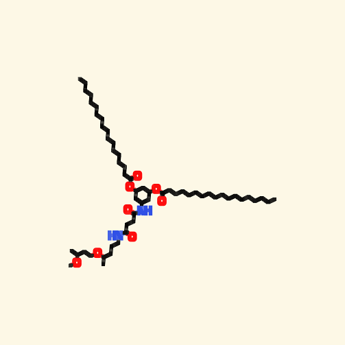 CCCCCCCCCCCCCCCCCC(=O)OC1CC(NC(=O)CCC(=O)NCCCC(C)OCCC(C)OC)CC(OC(=O)CCCCCCCCCCCCCCCCC)C1